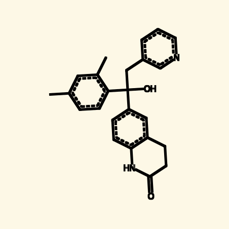 Cc1ccc(C(O)(Cc2cccnc2)c2ccc3c(c2)CCC(=O)N3)c(C)c1